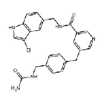 NC(=O)NCc1ccc(Cc2cncc(C(=O)NCc3ccc4[nH]cc(Cl)c4c3)c2)cc1